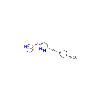 O=[N+]([O-])c1ccc(C#Cc2ccc(OC3CN4CCC3CC4)nn2)cc1